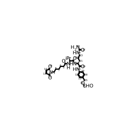 CC(C)C(NC(=O)CCCCCN1C(=O)C=CC1=O)C(=O)N[C@@H](CCCNC(N)=O)C(=O)Nc1ccc(COC=O)cc1